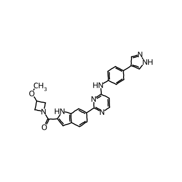 COC1CN(C(=O)c2cc3ccc(-c4nccc(Nc5ccc(-c6cn[nH]c6)cc5)n4)cc3[nH]2)C1